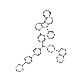 c1ccc(-c2ccc(-c3ccc(N(c4ccc(-c5cccc6ccccc56)cc4)c4ccc(-c5cccc6c5c(-c5ccccc5)c5ccc7ccccc7n56)cc4)cc3)cc2)cc1